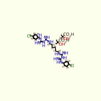 CC(C)(O)C(=O)O.CC(C)(O)C(=O)O.N=C(NCCCCCCNC(=N)NC(=N)Nc1ccc(Cl)cc1)NC(=N)Nc1ccc(Cl)cc1